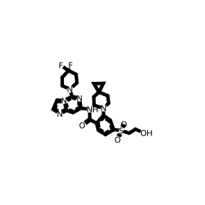 O=C(Nc1cc2nccn2c(N2CCC(F)(F)CC2)n1)c1ccc(S(=O)(=O)CCO)cc1N1CCC2(CC1)CC2